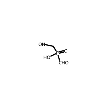 O=CP(=O)(O)CN=O